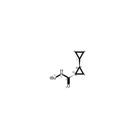 CC(C)(C)NC(=O)[C@H]1C[C@@H]1C1CC1